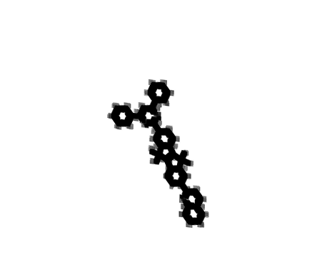 CC1(C)C2=C(c3ccc(-c4ccc5ccccc5n4)cc31)C(C)(C)c1cc(-c3nc(-c4ccccc4)cc(-c4ccccc4)n3)ccc12